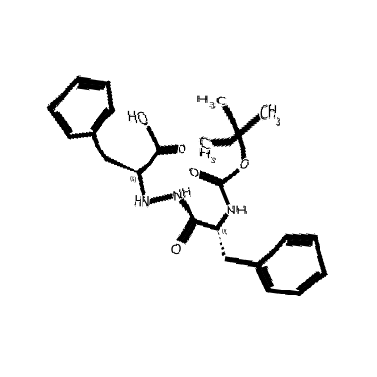 CC(C)(C)OC(=O)N[C@H](Cc1ccccc1)C(=O)NN[C@@H](Cc1ccccc1)C(=O)O